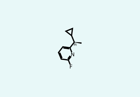 C[C@@H](c1cccc(F)n1)C1CC1